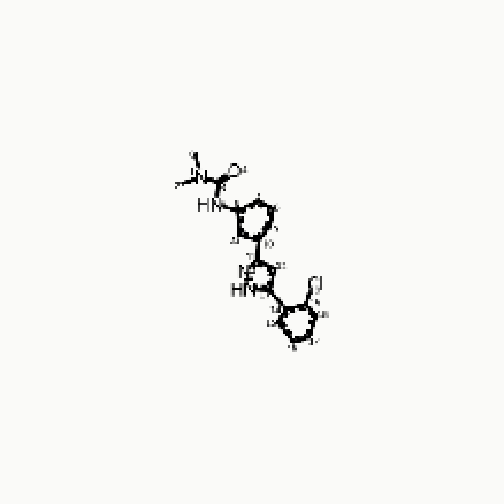 CN(C)C(=O)Nc1cccc(-c2cc(-c3ccccc3Cl)[nH]n2)c1